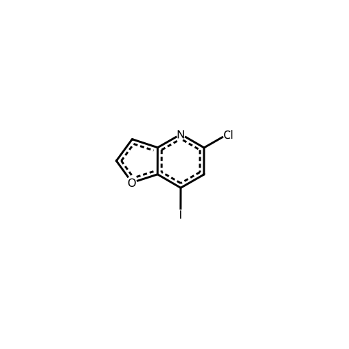 Clc1cc(I)c2occc2n1